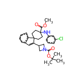 COC(=O)C1(Nc2cccc(Cl)c2)CCC2(CC1)C(C1CN(C(=O)OC(C)(C)C)C1)=Cc1ccccc12